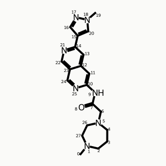 CN1CCCN(CC(=O)Nc2cc3cc(-c4cnn(C)c4)ncc3cn2)CC1